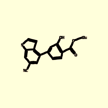 CC(C)(C)OC(=O)c1ccc(-c2cc(C#N)cc3sccc23)cc1O